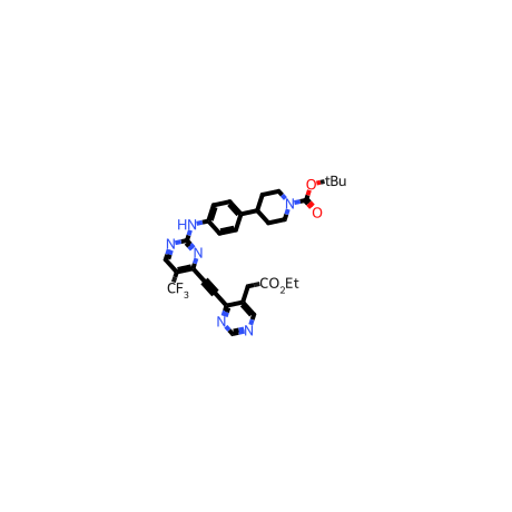 CCOC(=O)Cc1cncnc1C#Cc1nc(Nc2ccc(C3CCN(C(=O)OC(C)(C)C)CC3)cc2)ncc1C(F)(F)F